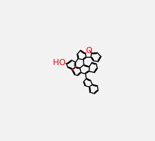 Oc1cccc(-c2ccc3oc4ccccc4c3c2-c2c3ccccc3c(-c3ccc4ccccc4c3)c3ccccc23)c1